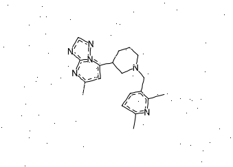 Cc1ccc(CN2CCCC(c3cc(C)nc4ncnn34)C2)c(C)n1